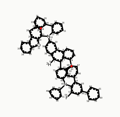 [2H]c1c2c3c(cccc3c3cc(N(c4ccccc4-c4ccccc4)c4cccc5c4oc4ccccc45)ccc13)Sc1cc(N(c3ccccc3)c3c(F)cc(-c4ccccc4)cc3-c3ccccc3)ccc1-2